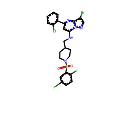 O=S(=O)(c1cc(F)ccc1F)N1CCC(CNc2cc(-c3ccccc3Cl)nc3c(Br)cnn23)CC1